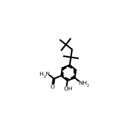 CC(C)(C)CC(C)(C)c1cc(N)c(O)c(C(N)=O)c1